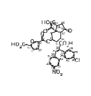 CCC(=O)C12CC(OC(=O)c3ccc(C(=O)O)o3)CCC1C(=O)CC2C(=O)O.O=C(O)C(=Cc1ccc([N+](=O)[O-])cc1)c1ccc(Cl)cc1